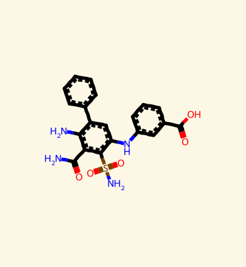 NC(=O)c1c(N)c(-c2ccccc2)cc(Nc2cccc(C(=O)O)c2)c1S(N)(=O)=O